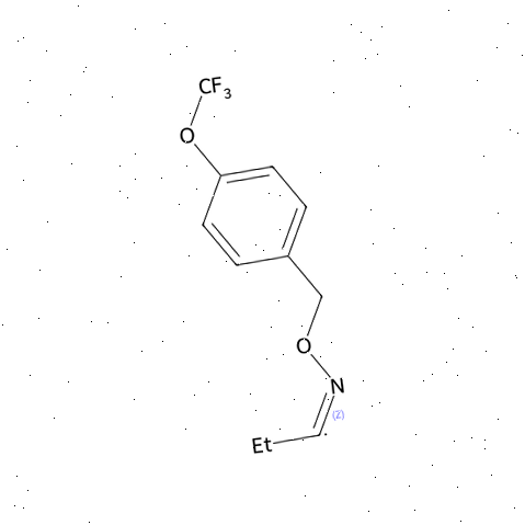 CC/[C]=N\OCc1ccc(OC(F)(F)F)cc1